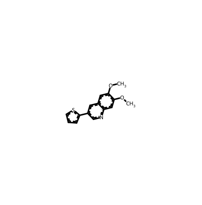 COc1cc2cc(-c3cccs3)cnc2cc1OC